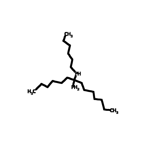 CCCCCCCC(P)(CCCCCC)PCCCCCC